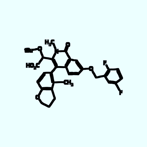 Cc1c(-c2c(C(OC(C)(C)C)C(=O)O)n(C)c(=O)c3cc(OCc4cc(F)ccc4F)ccc23)ccc2c1CCCO2